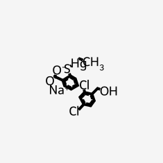 C[CH2][Hg][S]c1ccccc1C(=O)[O-].OCc1ccc(Cl)cc1Cl.[Na+]